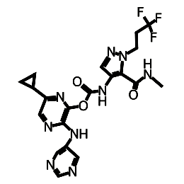 CNC(=O)c1c(NC(=O)Oc2nc(C3CC3)cnc2Nc2cncnc2)cnn1CCC(F)(F)F